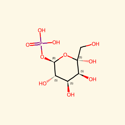 O=P(O)(O)O[C@H]1O[C@@](O)(CO)[C@@H](O)[C@@H](O)[C@@H]1O